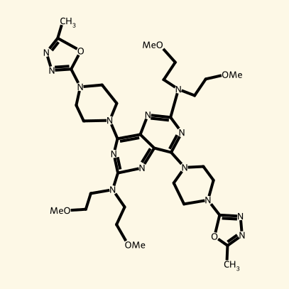 COCCN(CCOC)c1nc(N2CCN(c3nnc(C)o3)CC2)c2nc(N(CCOC)CCOC)nc(N3CCN(c4nnc(C)o4)CC3)c2n1